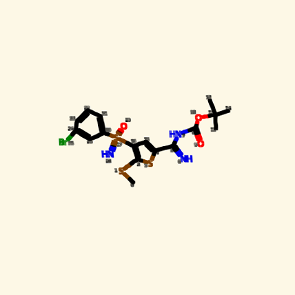 CSc1sc(C(=N)NC(=O)OC(C)(C)C)cc1S(=N)(=O)c1cccc(Br)c1